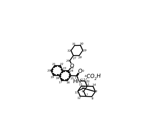 O=C(N[C@H](C(=O)O)C12CC3CC(CC(C3)C1)C2)c1ccc2ccccc2c1OCC1CCCCC1